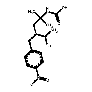 CC(C)(C[C@H](Cc1ccc([N+](=O)[O-])cc1)C(N)S)NC(=O)O